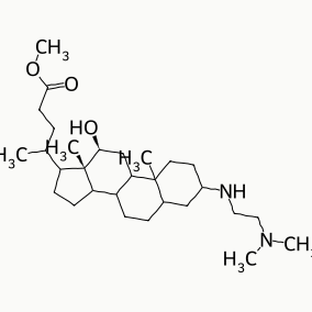 COC(=O)CCC(C)C1CCC2C3CCC4CC(NCCN(C)C)CCC4(C)C3C[C@H](O)[C@@]12C